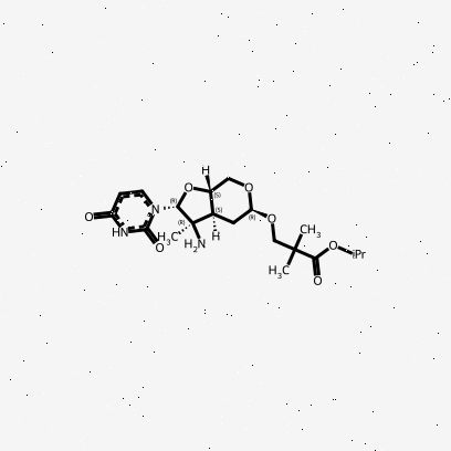 CC(C)OC(=O)C(C)(C)CO[C@H]1C[C@@H]2[C@@H](CO1)O[C@@H](n1ccc(=O)[nH]c1=O)[C@]2(C)N